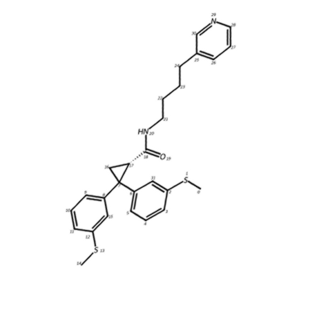 CSc1cccc(C2(c3cccc(SC)c3)C[C@@H]2C(=O)NCCCCc2cccnc2)c1